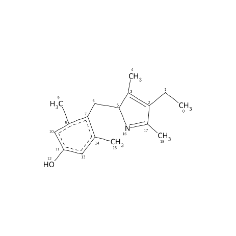 CCC1=C(C)C(Cc2c(C)cc(O)cc2C)N=C1C